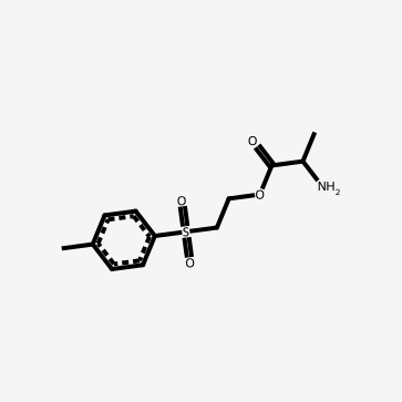 Cc1ccc(S(=O)(=O)CCOC(=O)C(C)N)cc1